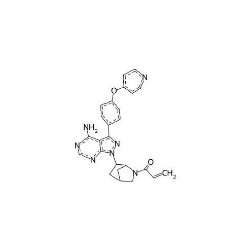 C=CC(=O)N1CC2CC1C(n1nc(-c3ccc(Oc4ccncc4)cc3)c3c(N)ncnc31)C2